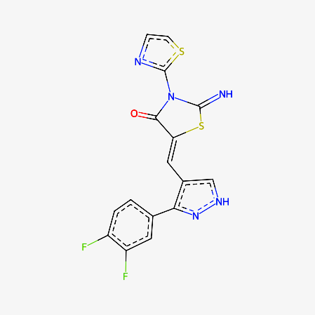 N=C1S/C(=C\c2c[nH]nc2-c2ccc(F)c(F)c2)C(=O)N1c1nccs1